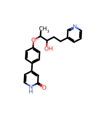 CC(Oc1ccc(-c2cc[nH]c(=O)c2)cc1)C(O)CCc1cccnc1